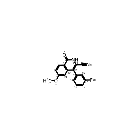 COc1ccc2c(=O)[nH]c(C#N)c(-c3cccc(F)c3)c2c1